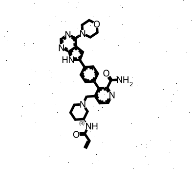 C=CC(=O)N[C@@H]1CCCN(Cc2ccnc(C(N)=O)c2-c2ccc(-c3cc4c(N5CCOCC5)ncnc4[nH]3)cc2)C1